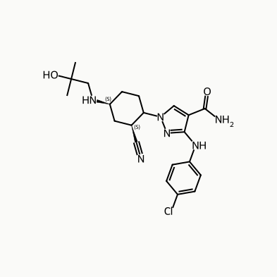 CC(C)(O)CN[C@H]1CCC(n2cc(C(N)=O)c(Nc3ccc(Cl)cc3)n2)[C@@H](C#N)C1